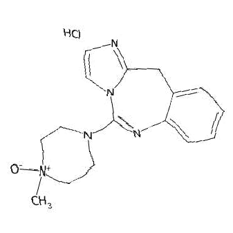 C[N+]1([O-])CCN(C2=Nc3ccccc3Cc3nccn32)CC1.Cl